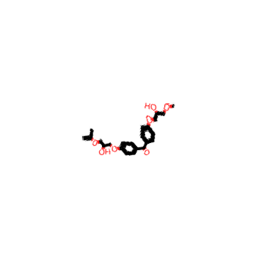 COCC(O)COc1ccc(C(=O)c2ccc(OCC(O)COC(C)C)cc2)cc1